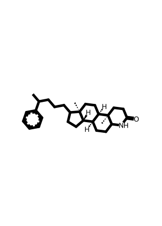 CC(CCCC1CC[C@H]2[C@@H]3CCC4NC(=O)CC[C@]4(C)[C@@H]3CC[C@]12C)c1ccccc1